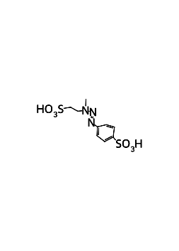 CN(CCS(=O)(=O)O)/N=N/c1ccc(S(=O)(=O)O)cc1